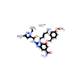 CCn1nc(C)cc1C(=O)Nc1nc2cc(C(N)=O)cc(OCc3ccc(OC)cc3)c2n1CC=CCN.Cl